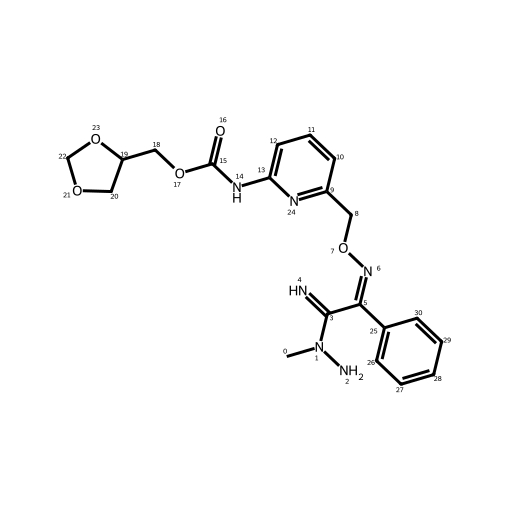 CN(N)C(=N)/C(=N\OCc1cccc(NC(=O)OCC2COCO2)n1)c1ccccc1